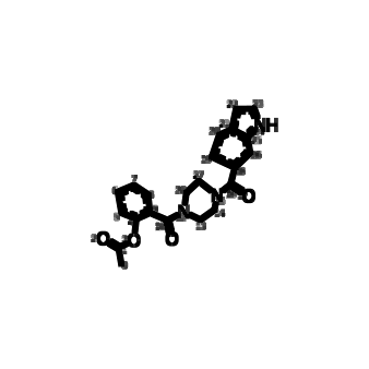 CC(=O)Oc1ccccc1C(=O)N1CCN(C(=O)c2ccc3cc[nH]c3c2)CC1